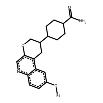 CCOc1ccc2ncc3c(c2c1)CC(C1CCC(C(N)=O)CC1)CO3